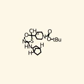 CC(C)(C)OC(=O)N1CCC(C2(C)OCN=C(N[C@H]3C[C@@H]4CC[C@H]3C4)S2)CC1